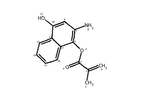 C=C(C)C(=O)Oc1c(N)cc(O)c2ccccc12